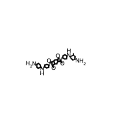 CC1C=C(N)C=CC1Nc1ccc(-n2c(=O)c3cc4c(=O)n(-c5ccc(Nc6ccc(N)cc6)cc5)c(=O)c4cc3c2=O)cc1